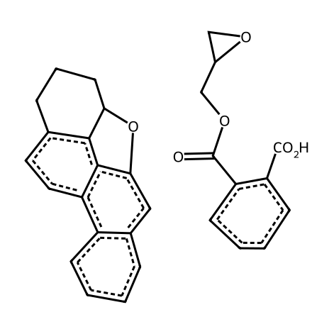 O=C(O)c1ccccc1C(=O)OCC1CO1.c1ccc2c(c1)cc1c3c4c(ccc32)CCCC4O1